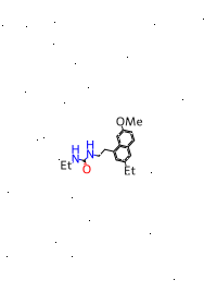 CCNC(=O)NCCc1cc(CC)cc2ccc(OC)cc12